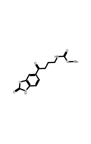 CC(C)(C)OC(=O)NCCCC(=O)c1ccc2[nH]c(=O)oc2c1